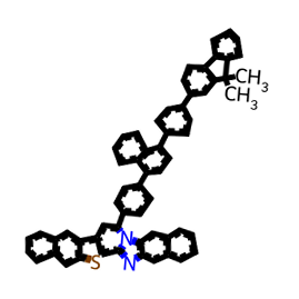 CC1(C)c2ccccc2-c2ccc(-c3ccc(-c4ccc(-c5ccc(-c6cc7c8cc9ccccc9cc8sc7c7nc8cc9ccccc9cc8n67)cc5)c5ccccc45)cc3)cc21